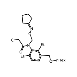 CCCCCCOCc1ccc(CC)c(N(CON=C2CCCC2)C(=O)CCl)c1CC